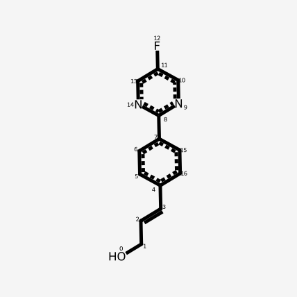 OC/C=C/c1ccc(-c2ncc(F)cn2)cc1